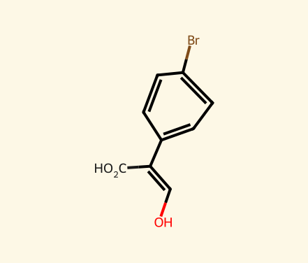 O=C(O)/C(=C\O)c1ccc(Br)cc1